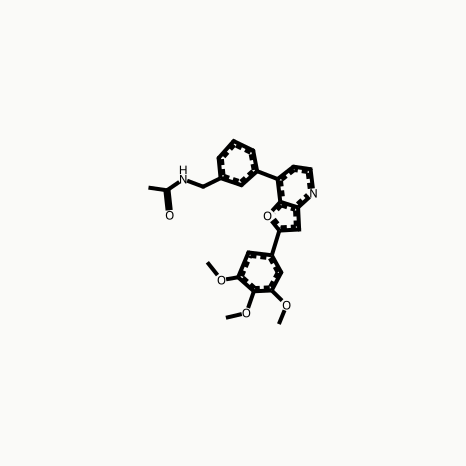 COc1cc(-c2cc3nccc(-c4cccc(CNC(C)=O)c4)c3o2)cc(OC)c1OC